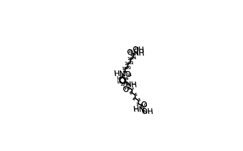 O=C(CCCCCCC(=O)Nc1cccc(NC(=O)CCCCCCC(=O)NO)c1)NO